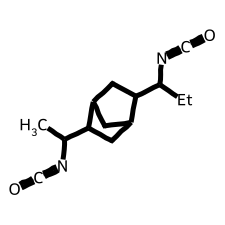 CCC(N=C=O)C1CC2CC1CC2C(C)N=C=O